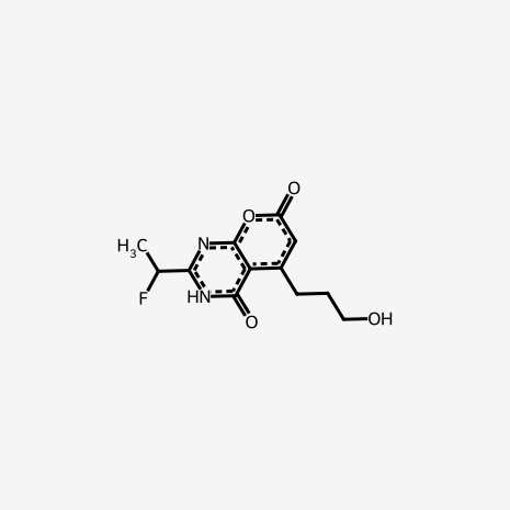 CC(F)c1nc2oc(=O)cc(CCCO)c2c(=O)[nH]1